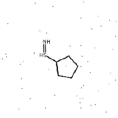 N=[SH]C1CCCC1